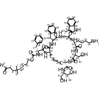 CC(C)C(=O)CCC(C)(C)SSCCOC(=O)N[C@H](Cc1ccccc1)C(=O)NC1CSSC[C@@H](C(=O)N[C@H](CO)[C@@H](C)O)NC(=O)C([C@@H](C)O)NC(=O)[C@H](CCCCN)NC(=O)[C@@H](Cc2c[nH]c3ccccc23)NC(=O)[C@H](Cc2ccccc2)NC1=O